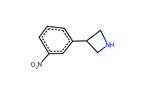 O=[N+]([O-])c1cccc(C2CNC2)c1